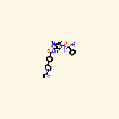 C=CC(=O)N1CCC(c2ccc(C(=O)Nc3nn(C)c4c3CN(C(=O)N[C@H](CN(C)C)c3ccccc3)C4(C)C)cc2)CC1